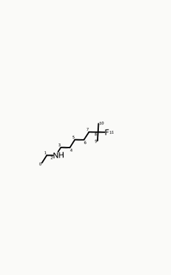 CCNCCCCCC(C)(C)F